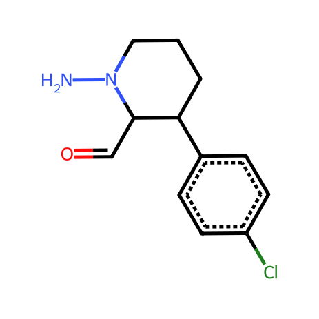 NN1CCCC(c2ccc(Cl)cc2)C1C=O